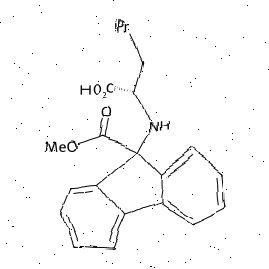 COC(=O)C1(N[C@@H](CC(C)C)C(=O)O)c2ccccc2-c2ccccc21